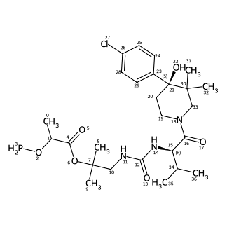 CC(OP)C(=O)OC(C)(C)CNC(=O)N[C@@H](C(=O)N1CC[C@](O)(c2ccc(Cl)cc2)C(C)(C)C1)C(C)C